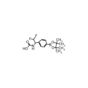 CC1(C)OB(c2ccc(C(NC(=O)O)C(F)F)cc2)OC1(C)C